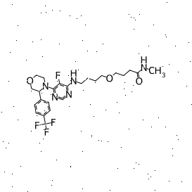 CNC(=O)CCCOCCCCNc1ncnc(N2CCOCC2c2ccc(C(F)(F)F)cc2)c1F